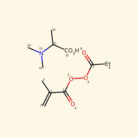 C=C(C)C(=O)OOC(=O)CC.CC(C(=O)O)N(C)C